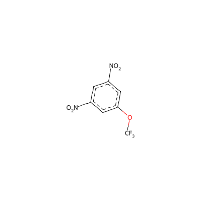 O=[N+]([O-])c1cc(OC(F)(F)F)cc([N+](=O)[O-])c1